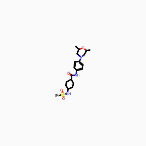 CC1CN(c2ccc(NC(=O)C3CCC(NS(=O)(=O)C(C)C)CC3)cc2)CC(C)O1